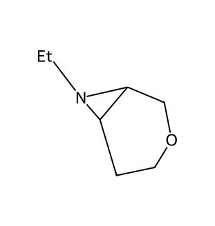 CCN1C2CCOCC21